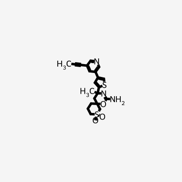 CC#Cc1cncc(-c2csc(C3(C)CC4(CCCS(=O)(=O)C4)OC(N)=N3)c2)c1